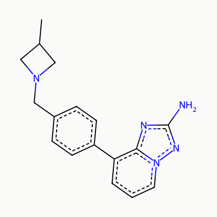 CC1CN(Cc2ccc(-c3cccn4nc(N)nc34)cc2)C1